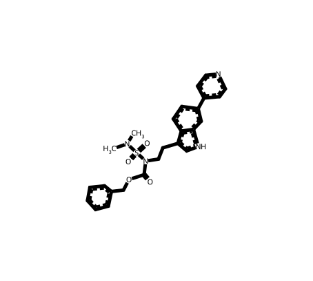 CN(C)S(=O)(=O)N(CCc1c[nH]c2cc(-c3ccncc3)ccc12)C(=O)OCc1ccccc1